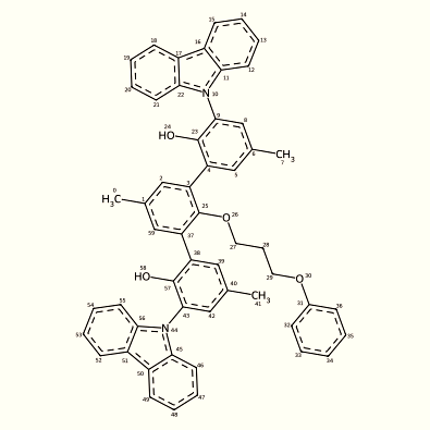 Cc1cc(-c2cc(C)cc(-n3c4ccccc4c4ccccc43)c2O)c(OCCCOc2ccccc2)c(-c2cc(C)cc(-n3c4ccccc4c4ccccc43)c2O)c1